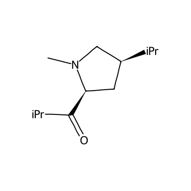 CC(C)C(=O)[C@@H]1C[C@H](C(C)C)CN1C